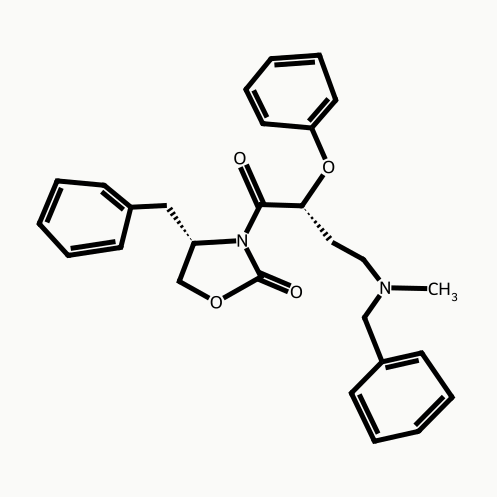 CN(CC[C@@H](Oc1ccccc1)C(=O)N1C(=O)OC[C@@H]1Cc1ccccc1)Cc1ccccc1